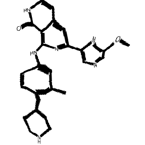 COc1cncc(-c2cc3cc[nH]c(=O)c3c(Nc3ccc(C4CCNCC4)c(C)c3)n2)n1